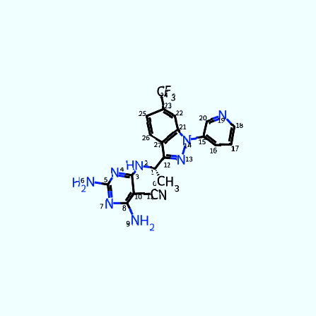 C[C@H](Nc1nc(N)nc(N)c1C#N)c1nn(-c2cccnc2)c2cc(C(F)(F)F)ccc12